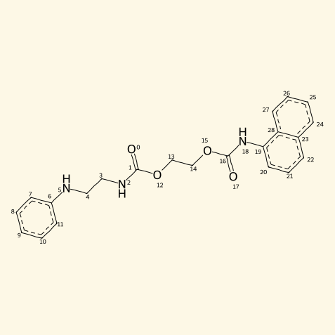 O=C(NCCNc1ccccc1)OCCOC(=O)Nc1cccc2ccccc12